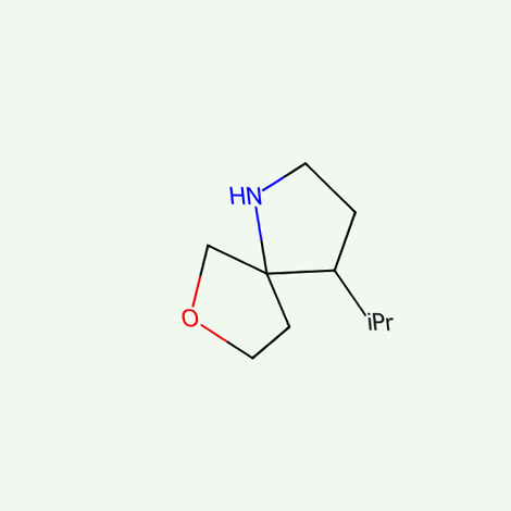 CC(C)C1CCNC12CCOC2